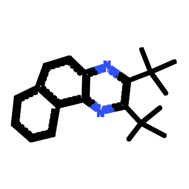 CC(C)(C)c1nc2ccc3ccccc3c2nc1C(C)(C)C